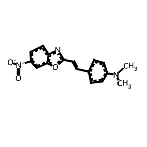 CN(C)c1ccc(C=Cc2nc3ccc([N+](=O)[O-])cc3o2)cc1